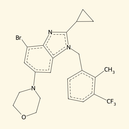 Cc1c(Cn2c(C3CC3)nc3c(Br)cc(N4CCOCC4)cc32)cccc1C(F)(F)F